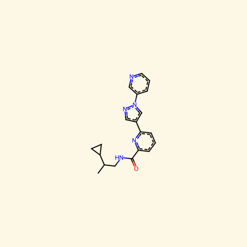 CC(CNC(=O)c1cccc(-c2cnn(-c3cccnc3)c2)n1)C1CC1